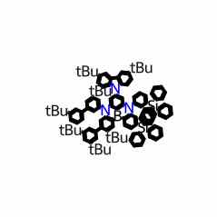 CC(C)(C)c1cccc(-c2cc(N3c4cc(-c5cc(C(C)(C)C)cc(C(C)(C)C)c5)c(C(C)(C)C)cc4B4c5ccc([Si](c6ccccc6)(c6ccccc6)c6ccccc6)cc5N(c5cccc([Si](c6ccccc6)(c6ccccc6)c6ccccc6)c5)c5cc(-n6c7ccc(C(C)(C)C)cc7c7cc(C(C)(C)C)ccc76)cc3c54)cc(C(C)(C)C)c2)c1